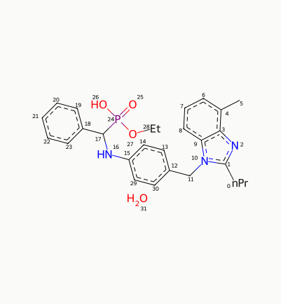 CCCc1nc2c(C)cccc2n1Cc1ccc(NC(c2ccccc2)P(=O)(O)OCC)cc1.O